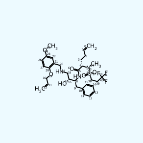 C=CCC[C@@H](C(=O)N[C@@H](Cc1ccccc1)[C@H](O)CNCc1cc(OC)ccc1OCC=C)N(C)S(=O)(=O)CCC(F)(F)F